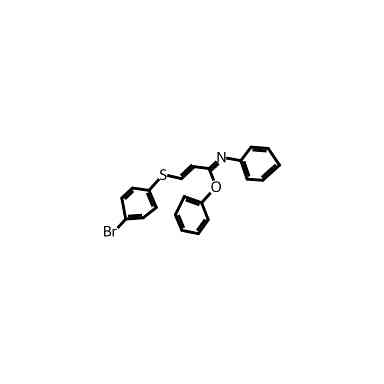 Brc1ccc(SC=CC(=Nc2ccccc2)Oc2ccccc2)cc1